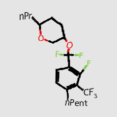 CCCCCc1ccc(C(F)(F)OC2CCC(CCC)OC2)c(F)c1C(F)(F)F